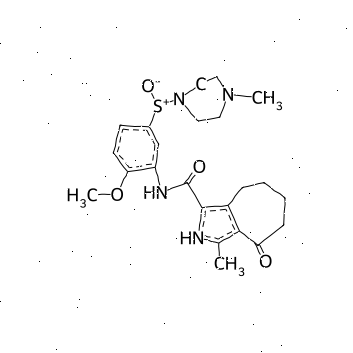 COc1ccc([S+]([O-])N2CCN(C)CC2)cc1NC(=O)c1[nH]c(C)c2c1CCCCC2=O